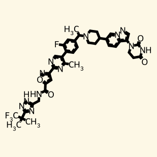 Cc1nc(-c2cc(C(=O)NCc3nc(C(C)(C)C(F)(F)F)n[nH]3)on2)ncc1-c1ccc(C(C)N2CCC(c3ccc4c(N5CCC(=O)NC5=O)cnn4c3)CC2)cc1F